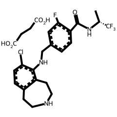 C[C@@H](NC(=O)c1ccc(CNc2c(Cl)ccc3c2CCNCC3)cc1F)C(F)(F)F.O=C(O)CCC(=O)O